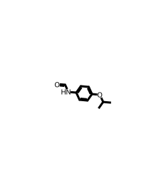 CC(C)Oc1ccc(NC=O)cc1